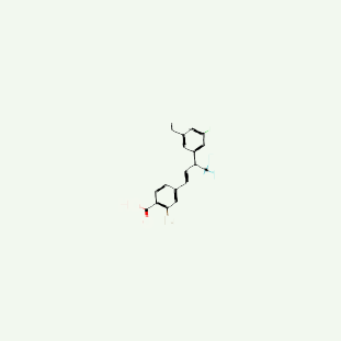 CCc1cc(Cl)cc(C(/C=C/c2ccc(C(=O)O)c(Br)c2)C(F)(F)F)c1